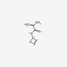 C=C(C)C(=O)OC1C=CC1